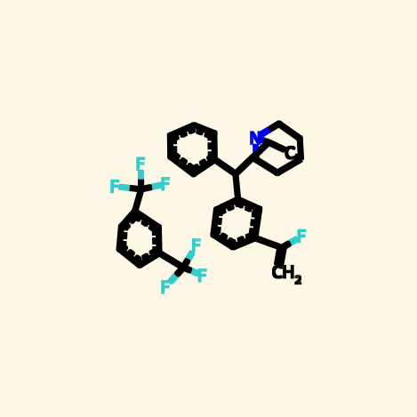 C=C(F)c1cccc(C(c2ccccc2)C2CC3CCN2CC3)c1.FC(F)(F)c1cccc(C(F)(F)F)c1